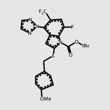 COc1ccc(CSc2cc3c(-n4nccn4)c(C(F)(F)F)cc(F)c3n2C(=O)OC(C)(C)C)cc1